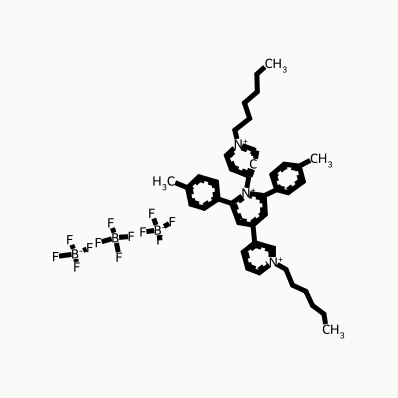 CCCCCC[n+]1ccc(-[n+]2c(-c3ccc(C)cc3)cc(-c3ccc[n+](CCCCCC)c3)cc2-c2ccc(C)cc2)cc1.F[B-](F)(F)F.F[B-](F)(F)F.F[B-](F)(F)F